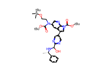 C[C@H](NC(O)c1ncc(-c2cn(C(=O)OC(C)(C)C)c3ncc(N(CCO[Si](C)(C)C(C)(C)C)C(=O)OC(C)(C)C)cc23)cn1)c1ccccc1